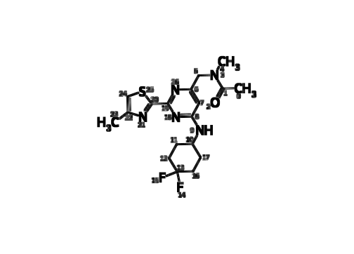 CC(=O)N(C)Cc1cc(NC2CCC(F)(F)CC2)nc(-c2nc(C)cs2)n1